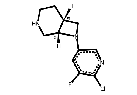 Fc1cc(N2C[C@H]3CCNC[C@H]32)cnc1Cl